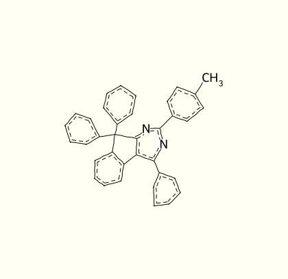 Cc1ccc(-c2nc(-c3ccccc3)c3c(n2)C(c2ccccc2)(c2ccccc2)c2ccccc2-3)cc1